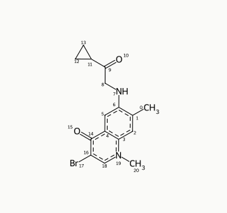 Cc1cc2c(cc1NCC(=O)C1CC1)c(=O)c(Br)cn2C